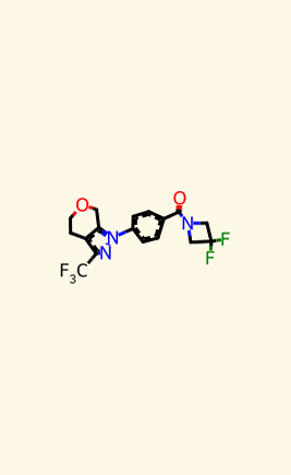 O=C(c1ccc(-n2nc(C(F)(F)F)c3c2COCC3)cc1)N1CC(F)(F)C1